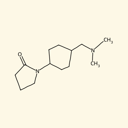 CN(C)CC1CCC(N2CCCC2=O)CC1